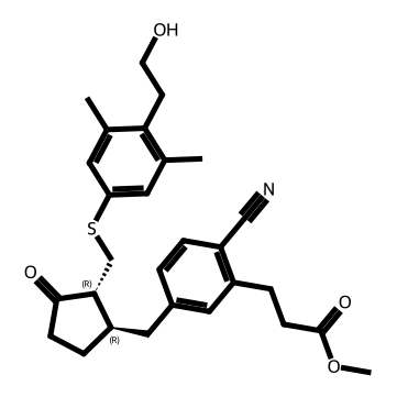 COC(=O)CCc1cc(C[C@H]2CCC(=O)[C@@H]2CSc2cc(C)c(CCO)c(C)c2)ccc1C#N